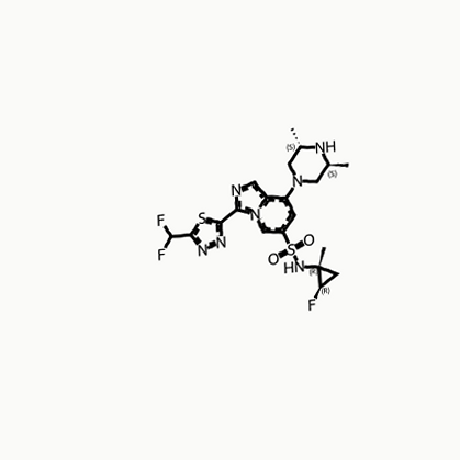 C[C@H]1CN(c2cc(S(=O)(=O)N[C@]3(C)C[C@H]3F)cn3c(-c4nnc(C(F)F)s4)ncc23)C[C@H](C)N1